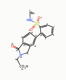 CC(C)(C)NS(=O)(=O)c1ccccc1-c1ccc2c(c1)CN(CC(=O)O)C2=O